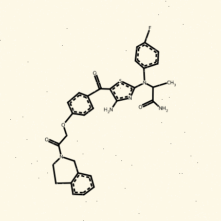 CC(C(N)=O)N(c1ccc(F)cc1)c1nc(N)c(C(=O)c2ccc(OCC(=O)N3CCc4ccccc4C3)cc2)s1